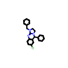 Clc1ccc2c(c1)C(c1ccccc1)N1CCN(Cc3ccccc3)C1=N2